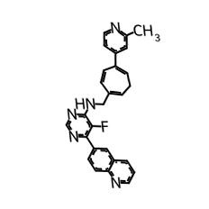 Cc1cc(C2=CCC=C(CNc3ncnc(-c4ccc5ncccc5c4)c3F)C=C2)ccn1